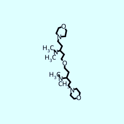 CN(C)C(CCOCCC(CCN1CCOCC1)N(C)C)CCN1CCOCC1